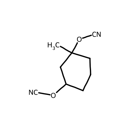 CC1(OC#N)CCCC(OC#N)C1